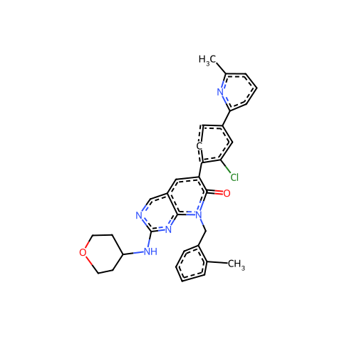 Cc1cccc(-c2ccc(-c3cc4cnc(NC5CCOCC5)nc4n(Cc4ccccc4C)c3=O)c(Cl)c2)n1